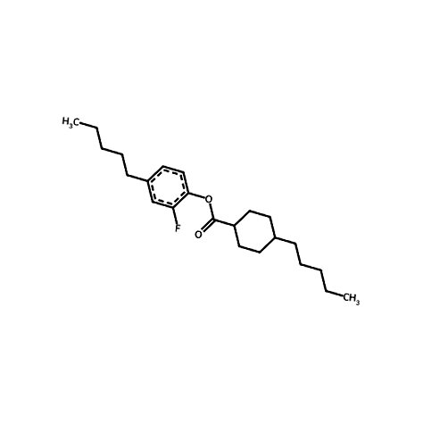 CCCCCc1ccc(OC(=O)C2CCC(CCCCC)CC2)c(F)c1